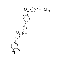 O=C(COc1ccc(Cl)c(F)c1)NC12CC(c3ccc(C(=O)N4CC(OCC(F)(F)F)C4)nc3)(C1)C2